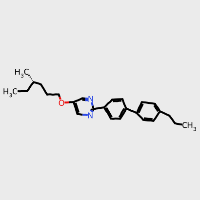 CCCc1ccc(-c2ccc(-c3ncc(OCCC[C@@H](C)CC)cn3)cc2)cc1